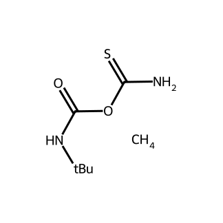 C.CC(C)(C)NC(=O)OC(N)=S